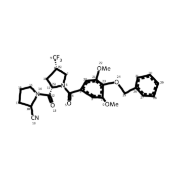 COc1cc(C(=O)N2C[C@@H](C(F)(F)F)C[C@H]2C(=O)N2CCCC2C#N)cc(OC)c1OCc1ccccc1